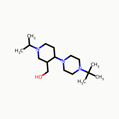 CC(C)N1CCC(N2CCN(C(C)(C)C)CC2)C(CO)C1